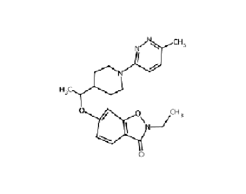 CCn1oc2cc(OC(C)C3CCN(c4ccc(C)nn4)CC3)ccc2c1=O